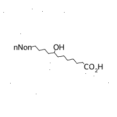 CCCCCCCCCCCCCC(O)CCCCCCC(=O)O